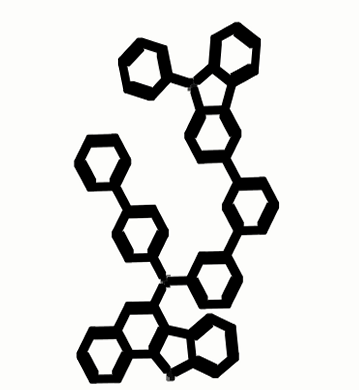 c1ccc(-c2ccc(N(c3cccc(-c4cccc(-c5ccc6c(c5)c5ccccc5n6-c5ccccc5)c4)c3)c3cc4ccccc4c4sc5ccccc5c34)cc2)cc1